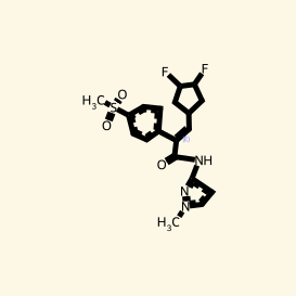 Cn1ccc(NC(=O)/C(=C/C2CC(F)C(F)C2)c2ccc(S(C)(=O)=O)cc2)n1